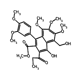 CCC(=O)c1c(C(=O)OC)c(-c2ccc(OC)c(OC)c2)c2c(OC)c(OC)c(OC)c(CO)c2c1O